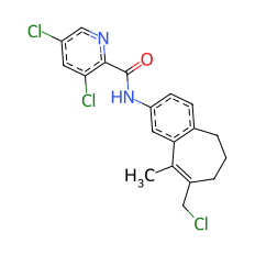 CC1=C(CCl)CCCc2ccc(NC(=O)c3ncc(Cl)cc3Cl)cc21